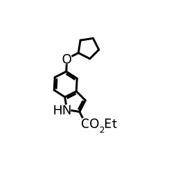 CCOC(=O)c1cc2cc(OC3CCCC3)ccc2[nH]1